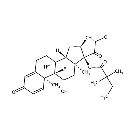 CCC(C)(C)C(=O)O[C@]1(C(=O)CO)[C@H](C)C[C@H]2[C@@H]3CCC4=CC(=O)C=C[C@]4(C)[C@@]3(F)[C@@H](O)C[C@@]21C